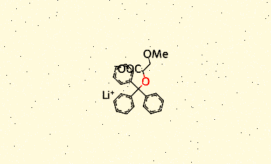 COC[C@H](OC(c1ccccc1)(c1ccccc1)c1ccccc1)C(=O)[O-].[Li+]